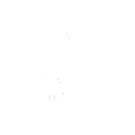 N#Cc1cccc2c1ccc[n+]2OS